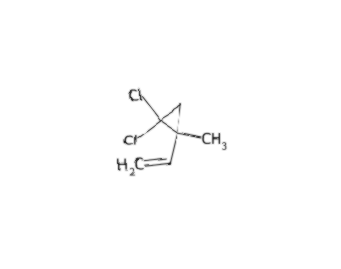 C=CC1(C)CC1(Cl)Cl